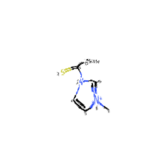 CSC(=S)n1cc[n+](C)c1